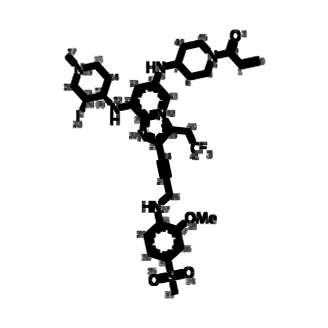 C=CC(=O)N1CCC(Nc2cc(N[C@@H]3CCN(C)C[C@@H]3F)c3nc(C#CCNc4ccc(S(C)(=O)=O)cc4OC)c(CC(F)(F)F)n3c2)CC1